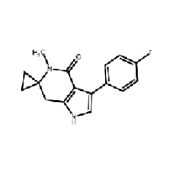 CN1C(=O)c2c(-c3ccc(F)cc3)c[nH]c2CC12CC2